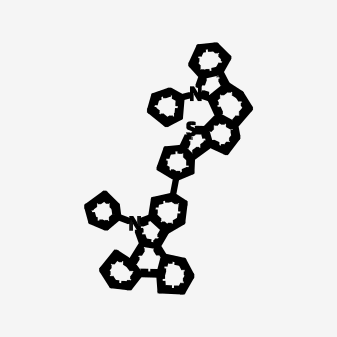 c1ccc(-n2c3cc(-c4ccc5sc6c(ccc7ccc8c9ccccc9n(-c9ccccc9)c8c76)c5c4)ccc3c3c4ccccc4c4ccccc4c32)cc1